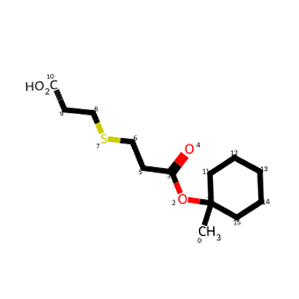 CC1(OC(=O)CCSCCC(=O)O)CCCCC1